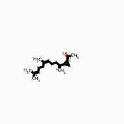 C=C(CCC=C(C)CCC=C(C)C)C1CC1C(C)=O